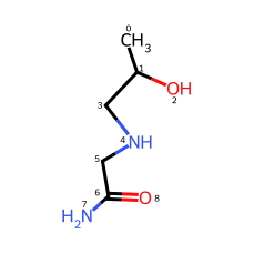 CC(O)CNCC(N)=O